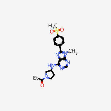 CCC(=O)N1CCC(Nc2ncnc3c2nc(-c2ccc(S(C)(=O)=O)cc2)n3C)C1